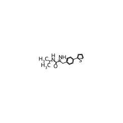 CC(C)NC(=O)[C@@H](N)Cc1ccc(-c2cccs2)cc1